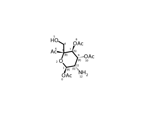 CC(=O)O[C@H]1O[C@@](CO)(C(C)=O)[C@@H](OC(C)=O)[C@H](OC(C)=O)[C@@H]1N